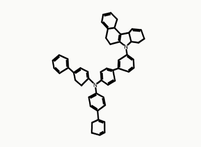 C1=CCCC(c2ccc(N(C3=CC=C(c4ccccc4)CC3)c3ccc(-c4cccc(N5C6=C(C7CC=CC=C7CC6)C6C=CCCC65)c4)cc3)cc2)=C1